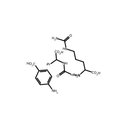 CCCCCC(=O)NC(C(=O)O)C(C)C.NC(=O)NCCCC(N)C(=O)O.Nc1ccc(C(=O)O)cc1